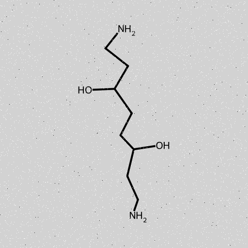 NCCC(O)CCC(O)CCN